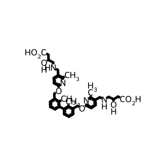 Cc1nc(OCc2cccc(-c3cccc(COc4ccc(CNCC(O)CC(=O)O)c(C)n4)c3C)c2C)ccc1CNCC(O)CC(=O)O